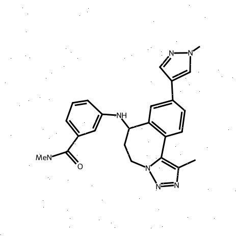 CNC(=O)c1cccc(NC2CCn3nnc(C)c3-c3ccc(-c4cnn(C)c4)cc32)c1